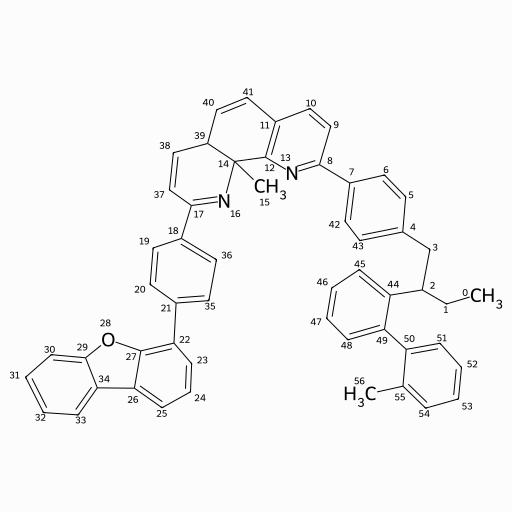 CCC(Cc1ccc(-c2ccc3c(n2)C2(C)N=C(c4ccc(-c5cccc6c5oc5ccccc56)cc4)C=CC2C=C3)cc1)c1ccccc1-c1ccccc1C